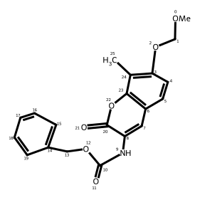 COCOc1ccc2cc(NC(=O)OCc3ccccc3)c(=O)oc2c1C